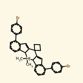 [CH3][Hf]1([CH3])[CH]2C(=Cc3c(-c4ccc(Br)cc4)cccc32)C2(CCC2)C2=Cc3c(-c4ccc(Br)cc4)cccc3[CH]21